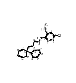 CCNc1cc(Cl)nnc1NN=CC=CC1(c2ccccc2)C=CC=CC1